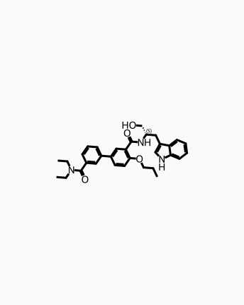 CCCOc1ccc(-c2cccc(C(=O)N(CC)CC)c2)cc1C(=O)N[C@H](CO)Cc1c[nH]c2ccccc12